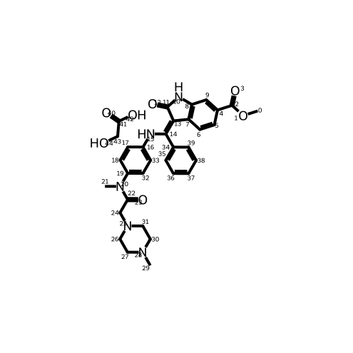 COC(=O)c1ccc2c(c1)NC(=O)/C2=C(\Nc1ccc(N(C)C(=O)CN2CCN(C)CC2)cc1)c1ccccc1.O=C(O)CO